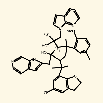 COc1ccc(F)cc1C(C)(CC(C(C)(C)c1cc(Cl)cc2c1OCC2)C(O)(Cc1cc2ccncc2[nH]1)C(F)(F)F)CC(O)(Cn1ccc2cccnc21)C(F)(F)F